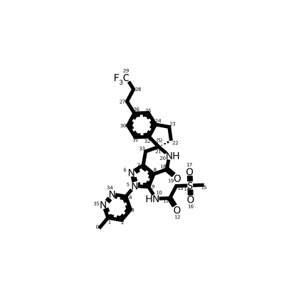 Cc1ccc(-n2nc3c(c2NC(=O)CS(C)(=O)=O)C(=O)N[C@@]2(CCc4cc(CCC(F)(F)F)ccc42)C3)nn1